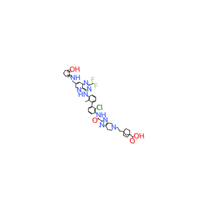 Cc1c(Nc2nc(C(F)F)nc3cc(CN[C@@H]4CCC[C@@H]4O)cnc23)cccc1-c1cccc(NC(=O)c2nc3c(n2C)CCN(CCC24CCC(C(=O)O)(CC2)C4)C3)c1Cl